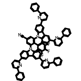 N#Cc1cc(-n2c3ccc(-c4cccc(-c5ccccc5)n4)cc3c3cc(-c4cccc(-c5ccccc5)n4)ccc32)c(-c2c(F)c(F)c(F)c(F)c2F)c(-n2c3ccc(-c4cccc(-c5ccccc5)n4)cc3c3cc(-c4cccc(-c5ccccc5)n4)ccc32)c1